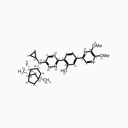 COc1ncc(-c2ccc(-c3ncc(N(C4CC4)[C@@H]4C[C@@]5(C)CC[C@](C)(C5)[C@@H]4F)nn3)c(O)c2)nc1OC